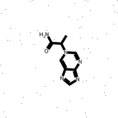 CC(C(N)=O)n1cnc2ncnc-2c1